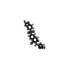 Cc1cc2cc(S(=O)(=O)c3ccc4c(=O)n(Cc5cc[nH]n5)ncc4c3)ccc2o1